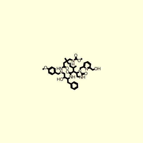 CCC(C)C(C(=O)NC(Cc1ccccc1)C(O)CN(Cc1ccc(OC)cc1)NC(=O)CC(C)(C)CNC(=O)OC)C1CNC(=O)N1Cc1cccc(CO)n1